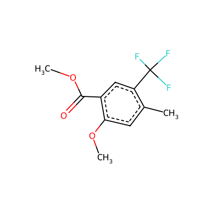 COC(=O)c1cc(C(F)(F)F)c(C)cc1OC